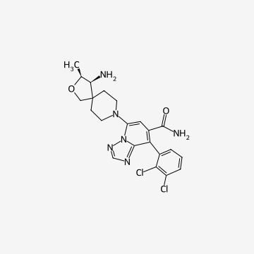 C[C@@H]1OCC2(CCN(c3cc(C(N)=O)c(-c4cccc(Cl)c4Cl)c4ncnn34)CC2)[C@@H]1N